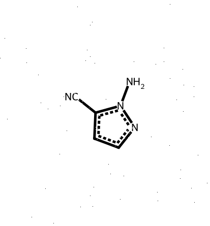 N#Cc1ccnn1N